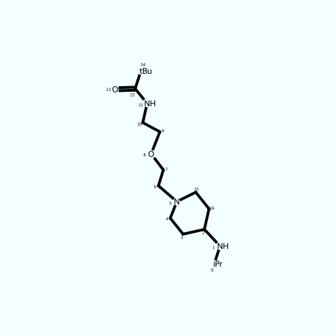 CC(C)NC1CCN(CCOCCNC(=O)C(C)(C)C)CC1